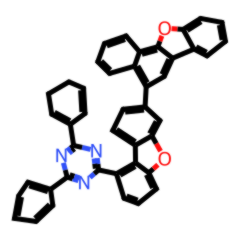 C1=CC(c2nc(-c3ccccc3)nc(-c3cccc4oc5cc(-c6cc7c8ccccc8oc7c7ccccc67)ccc5c34)n2)=CCC1